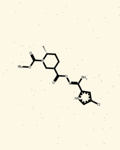 C[C@@H]1CCC(C(=O)ON=C(N)c2cc(Cl)c[nH]2)CN1C(=O)OC(C)(C)C